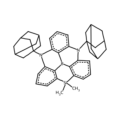 C[Si]1(C)c2cccc3c2B2c4c(cccc4N(C45CC6CC(CC(C6)C4)C5)c4cccc1c42)N3C12CC3CC(CC(C3)C1)C2